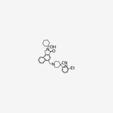 CCc1cccc(C2(C#N)CCN(Cc3cc4c(c5ccccc35)CN(C3(O)CCCCC3)C4=O)CC2)n1